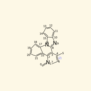 C=Nc1c(/C(C)=C\C)c2nc3ccccc3n2c2ccccc12